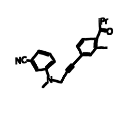 Cc1cc(C#CCN(C)c2cccc(C#N)c2)ccc1C(=O)C(C)C